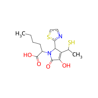 CCCCC(C(=O)O)N1C(=O)C(O)=C(C(C)S)C1c1nccs1